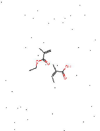 C=C(C)C(=O)OCC.CC=C(C)C(=O)O